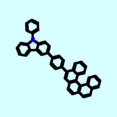 c1ccc(-n2c3ccccc3c3cc(-c4ccc(-c5cc6ccc7ccc8ccccc8c7c6c6ccccc56)cc4)ccc32)cc1